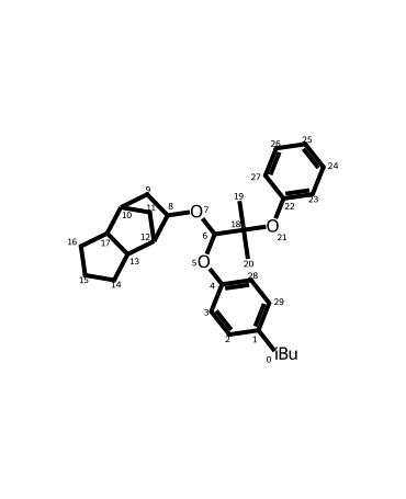 CCC(C)c1ccc(OC(OC2CC3CC2C2CCCC32)C(C)(C)Oc2ccccc2)cc1